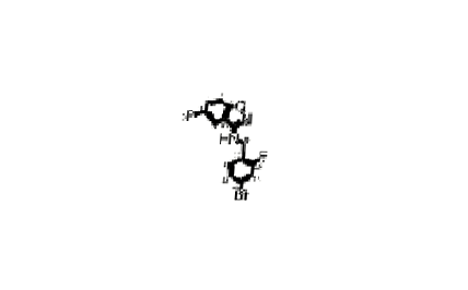 Fc1ccc2onc(NCc3ccc(Br)cc3F)c2c1